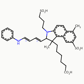 Cc1cc(S(=O)(=O)O)cc2c3c(ccc12)N(CCCS(=O)(=O)O)C(/C=C/C=C/Nc1ccccc1)C3(C)CCCCCC(=O)O